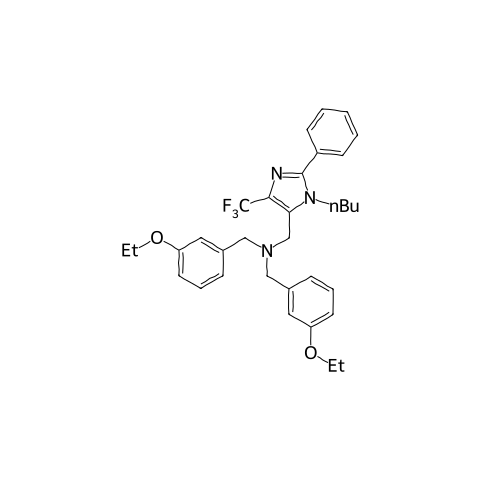 CCCCn1c(-c2ccccc2)nc(C(F)(F)F)c1CN(Cc1cccc(OCC)c1)Cc1cccc(OCC)c1